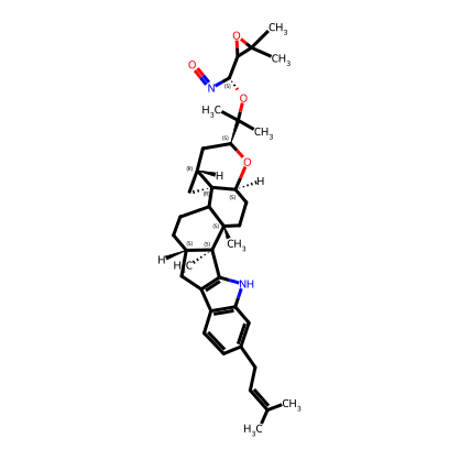 CC(C)=CCc1ccc2c3c([nH]c2c1)[C@@]1(C)[C@@H](CCC2[C@@]45C[C@@H]4C[C@@H](C(C)(C)O[C@H](N=O)C4OC4(C)C)O[C@H]5CC[C@@]21C)C3